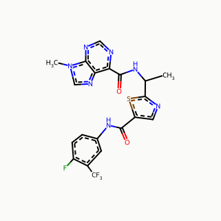 CC(NC(=O)c1ncnc2c1ncn2C)c1ncc(C(=O)Nc2ccc(F)c(C(F)(F)F)c2)s1